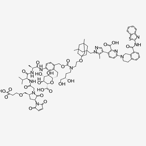 Cc1c(-c2ccc(N3CCc4cccc(C(=O)Nc5nc6ccccc6s5)c4C3)nc2C(=O)O)cnn1CC12CC3(C)CC(C)(C1)CC(OCCN(CC[C@H](O)CO)C(=O)OCc1ccc(NC(=O)[C@H](C)NC(=O)[C@@H](NC(=O)CN4C(=O)[C@@H](N5C(=O)C=CC5=O)C[C@H]4COCCS(=O)(=O)O)C(C)C)cc1CC[C@@H]1O[C@H](C(=O)O)[C@@H](O)[C@H](O)[C@H]1O)(C3)C2